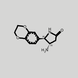 N[C@H]1CC(=O)N[C@@H]1c1ccc2c(c1)OCCO2